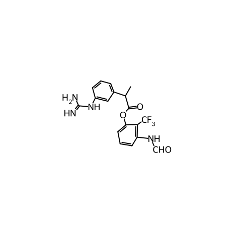 CC(C(=O)Oc1cccc(NC=O)c1C(F)(F)F)c1cccc(NC(=N)N)c1